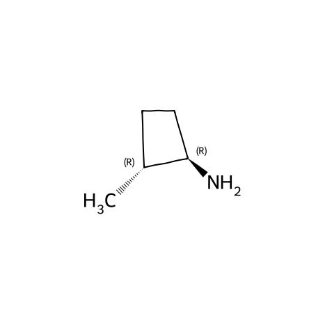 C[C@@H]1CC[C@H]1N